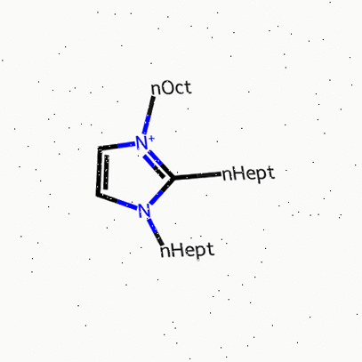 CCCCCCCC[n+]1ccn(CCCCCCC)c1CCCCCCC